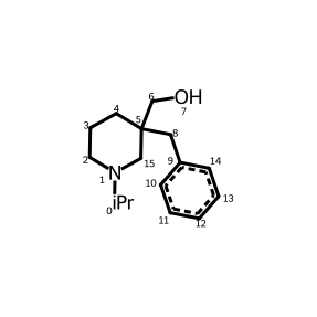 CC(C)N1CCCC(CO)(Cc2ccccc2)C1